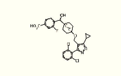 O=C(O)c1ccc(C(O)C23CCC(OCc4c(-c5c(Cl)cccc5Cl)noc4C4CC4)(CC2)CC3)c(F)c1